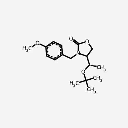 COc1ccc(CN2C(=O)OCC2[C@@H](C)OC(C)(C)C)cc1